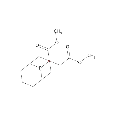 COC(=O)CC(C(=O)OC)P1C2CCCC1CCC2